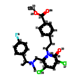 CC(c1ccc(F)cc1)N(C)Cc1c(Cl)cc(Cl)c(=O)n1CCc1ccc(C(=O)OC(C)(C)C)cc1